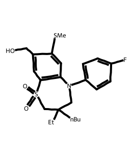 CCCCC1(CC)CN(c2ccc(F)cc2)c2cc(SC)c(CO)cc2S(=O)(=O)C1